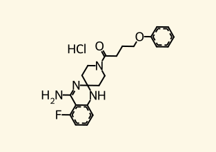 Cl.NC1=NC2(CCN(C(=O)CCCOc3ccccc3)CC2)Nc2cccc(F)c21